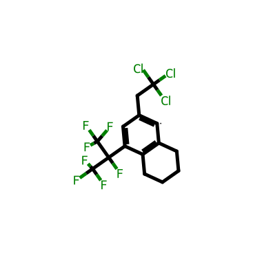 FC(F)(F)C(F)(c1cc(CC(Cl)(Cl)Cl)[c]c2c1CCCC2)C(F)(F)F